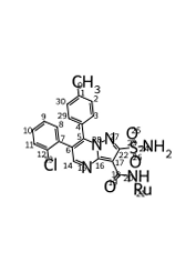 Cc1ccc(-c2c(-c3ccccc3Cl)cnc3c(C(=O)[NH][Ru])c(S(N)(=O)=O)nn23)cc1